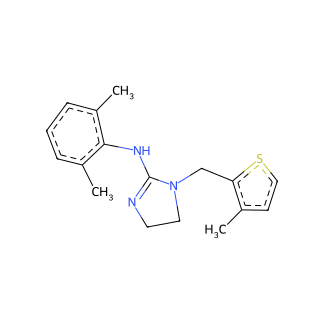 Cc1ccsc1CN1CCN=C1Nc1c(C)cccc1C